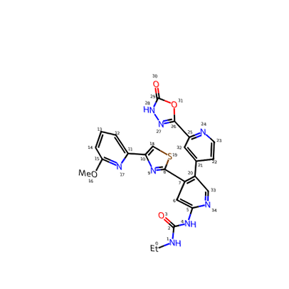 CCNC(=O)Nc1cc(-c2nc(-c3cccc(OC)n3)cs2)c(-c2ccnc(-c3n[nH]c(=O)o3)c2)cn1